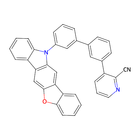 N#Cc1ncccc1-c1cccc(-c2cccc(-n3c4ccccc4c4cc5oc6ccccc6c5cc43)c2)c1